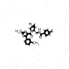 Cc1cccc(-c2sc(C)nc2C(=O)N2C[C@H]3CC3[C@H]2CNC(=O)c2ccc(F)cc2)c1